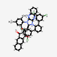 Cc1cc(C)c(N2/C(=C\C=C3C(=O)c4cc5ccccc5cc4C3=O)N(c3c(-c4cc(Cl)cc(Cl)c4)cccc3-c3cc(Cl)cc(Cl)c3)c3nc4ccccc4nc32)c(C)c1